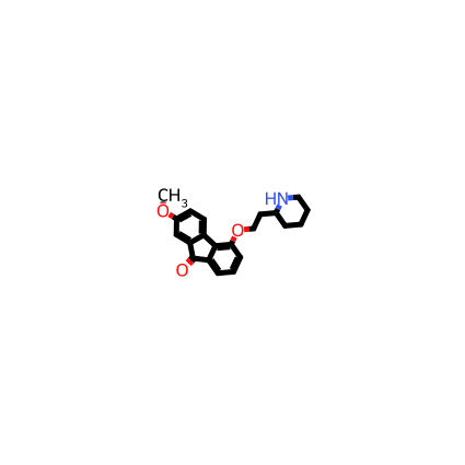 COc1ccc2c(c1)C(=O)c1cccc(OCCC3CCCCN3)c1-2